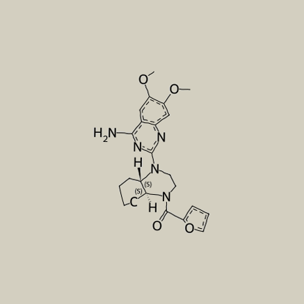 COc1cc2nc(N3CCN(C(=O)c4ccco4)[C@H]4CCCC[C@@H]43)nc(N)c2cc1OC